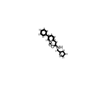 O=C(Cc1ccc(-c2ccccc2)c[n+]1[O-])NCC1CCCS1